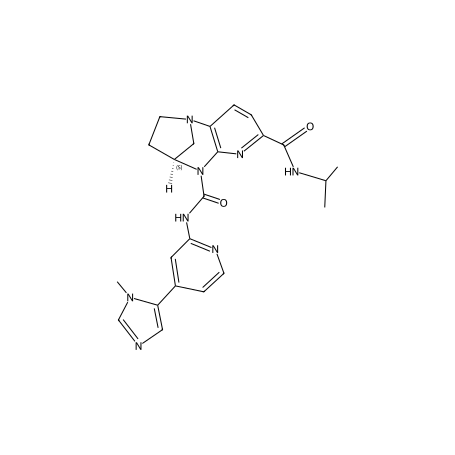 CC(C)NC(=O)c1ccc2c(n1)N(C(=O)Nc1cc(-c3cncn3C)ccn1)[C@H]1CCN2C1